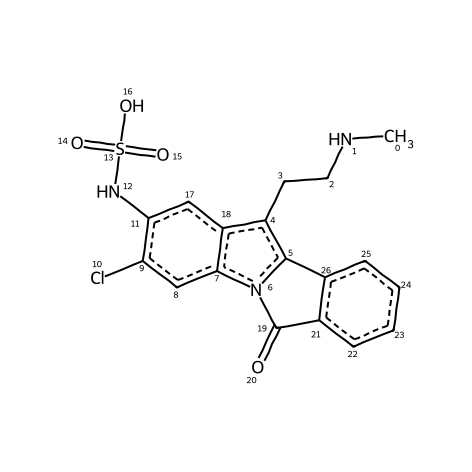 CNCCc1c2n(c3cc(Cl)c(NS(=O)(=O)O)cc13)C(=O)c1ccccc1-2